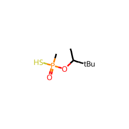 CC(OP(C)(=O)S)C(C)(C)C